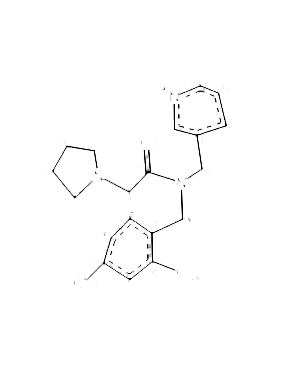 O=C(CN1CCCC1)N(Cc1cccnc1)Cc1ccc(Cl)cc1Cl